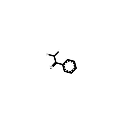 O=C(c1ccccc1)C(F)I